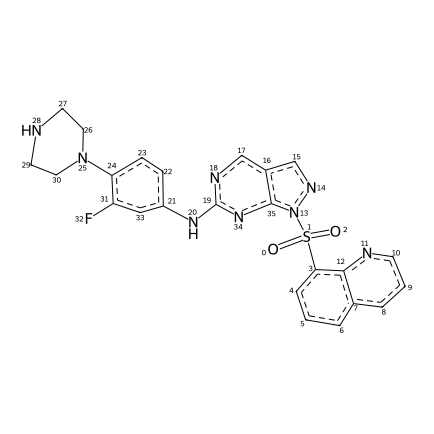 O=S(=O)(c1cccc2cccnc12)n1ncc2cnc(Nc3ccc(N4CCNCC4)c(F)c3)nc21